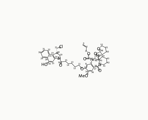 C=CCOC(=O)N1c2cc(OCCCCCC(=O)N3C[C@@H](CCl)c4c3cc(O)c3ccccc43)c(OC)cc2C(=O)N2CCCC[C@H]2C1OC1CCCCO1